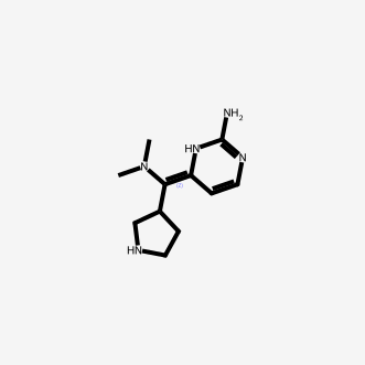 CN(C)/C(=C1/C=CN=C(N)N1)C1CCNC1